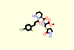 COC(=O)C(C[C@@H]1CCNC1=O)NC(=O)[C@@H]1CCCNN1C(=O)/C=C/c1ccc(Cl)cc1F